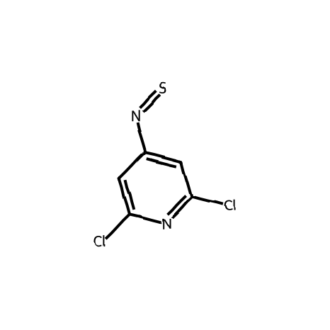 S=Nc1cc(Cl)nc(Cl)c1